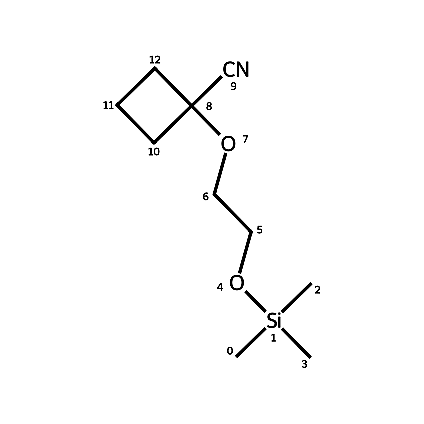 C[Si](C)(C)OCCOC1(C#N)CCC1